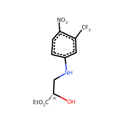 CCOC(=O)[C@@H](O)CNc1ccc([N+](=O)[O-])c(C(F)(F)F)c1